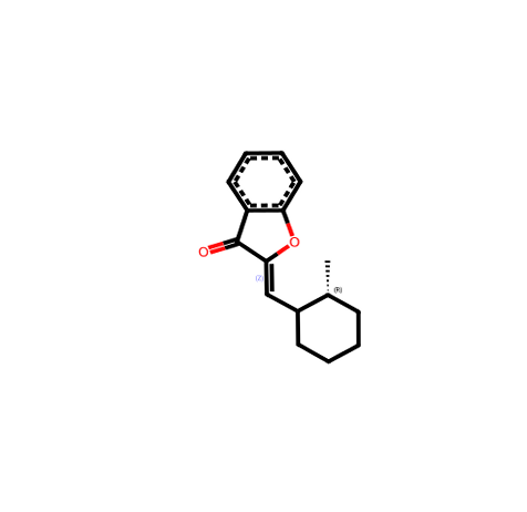 C[C@@H]1CCCCC1/C=C1\Oc2ccccc2C1=O